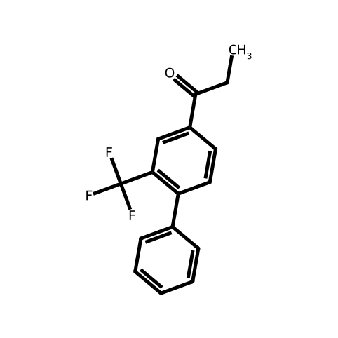 CCC(=O)c1ccc(-c2ccccc2)c(C(F)(F)F)c1